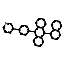 c1cncc(-c2ccc(-c3c4ccccc4c(-c4cccc5ccccc45)c4ccccc34)cc2)c1